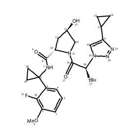 COc1cccc(C2(NC(=O)[C@@H]3C[C@@H](O)CN3C(=O)[C@@H](n3cc(C4CC4)nn3)C(C)(C)C)CC2)c1F